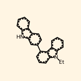 CCn1c2ccccc2c2c(-c3ccc4c(c3)[nH]c3ccccc34)cccc21